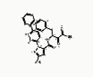 Cc1cc(C(=O)N[C@@H](Cc2ccccc2)C(=O)C(N)=O)n(-c2ccc(-c3ccccc3)nn2)n1